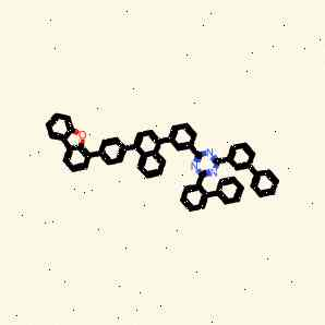 c1ccc(-c2cccc(-c3nc(-c4cccc(-c5ccc(-c6ccc(-c7cccc8c7oc7ccccc78)cc6)c6ccccc56)c4)nc(-c4ccccc4-c4ccccc4)n3)c2)cc1